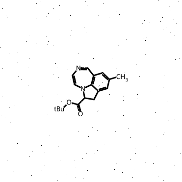 Cc1cc2c3c(c1)CC(C(=O)OC(C)(C)C)N3C=CN=C2